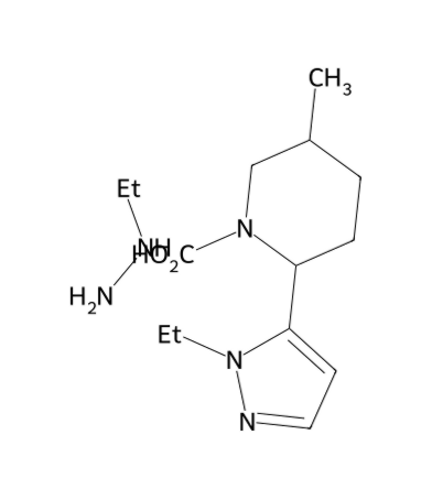 CCNN.CCn1nccc1C1CCC(C)CN1C(=O)O